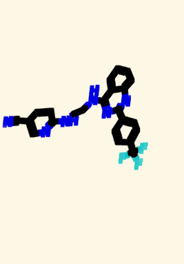 N#Cc1ccc(NCCNc2nc(-c3ccc(C(F)(F)F)cc3)nc3ccccc23)nc1